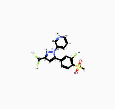 CS(=O)(=O)c1ccc(-c2cc(C(F)F)nn2-c2cccnc2)cc1F